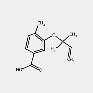 C=CC(C)(C)Oc1cc(C(=O)O)ccc1C